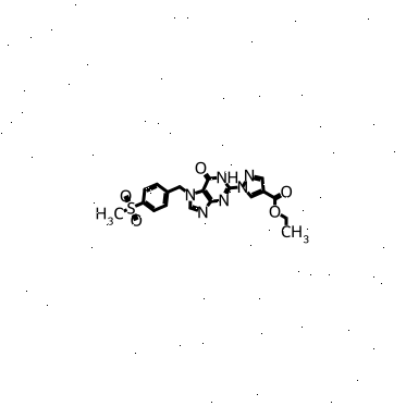 CCOC(=O)c1cnn(-c2nc3ncn(Cc4ccc(S(C)(=O)=O)cc4)c3c(=O)[nH]2)c1